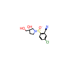 N#Cc1cc(Cl)ccc1[S+]([O-])N1CC[C@@](O)(CO)C1